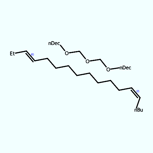 CC/C=C/CCCCCCCC/C=C\CCCC.CCCCCCCCCCOCOCOCCCCCCCCCC